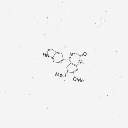 COc1cc2c(cc1OC)N(C)C(=O)CN=C2c1ccc2[nH]ccc2c1